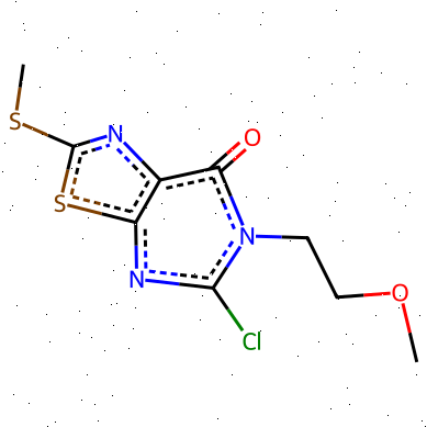 COCCn1c(Cl)nc2sc(SC)nc2c1=O